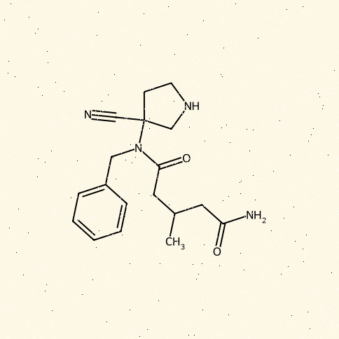 CC(CC(N)=O)CC(=O)N(Cc1ccccc1)C1(C#N)CCNC1